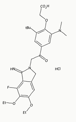 CCOc1cc2c(c(F)c1OCC)C(=N)N(CC(=O)c1cc(N(C)C)c(OCC(=O)O)c(C(C)(C)C)c1)C2.Cl